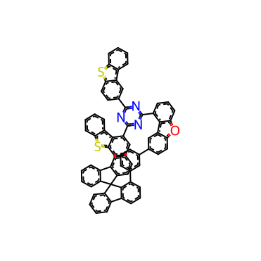 c1cc(-c2ccc3oc4cccc(-c5nc(-c6ccc7sc8ccccc8c7c6)nc(-c6cccc7sc8ccccc8c67)n5)c4c3c2)cc(-c2cccc3c2C2(c4ccccc4-c4ccccc42)c2ccccc2-3)c1